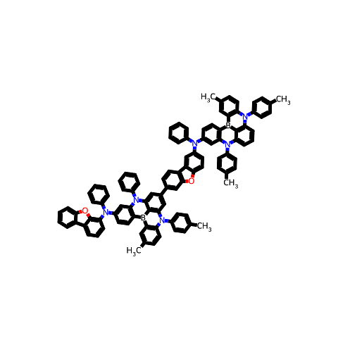 Cc1ccc(N2c3ccc(C)cc3B3c4ccc(N(c5ccccc5)c5ccc6oc7cc(-c8cc9c%10c(c8)N(c8ccccc8)c8cc(N(c%11ccccc%11)c%11cccc%12c%11oc%11ccccc%11%12)ccc8B%10c8cc(C)ccc8N9c8ccc(C)cc8)ccc7c6c5)cc4N(c4ccc(C)cc4)c4cccc2c43)cc1